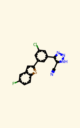 N#Cc1[nH]nnc1-c1cc(Cl)cc(-c2cc3cc(F)ccc3s2)c1